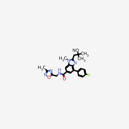 Cc1noc(CNC(=O)c2cc(-c3ccc(F)cc3)c3nc(CC(C)(C)N=O)n(C)c3c2)n1